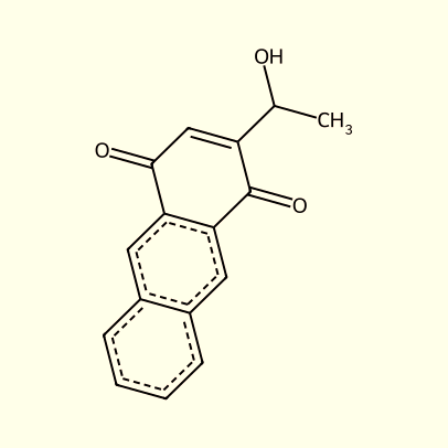 CC(O)C1=CC(=O)c2cc3ccccc3cc2C1=O